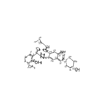 Cc1cccc(C(=O)NC2=C/C(=C/N[C@H]3CC[C@@H](O)CC3)C(=N)C=C2OCC2CC2)[n+]1O